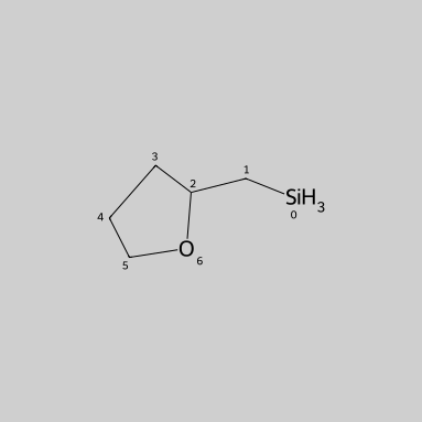 [SiH3]CC1CCCO1